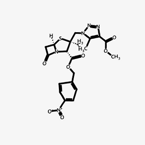 COC(=O)c1nnn(C[C@]2(C)S[C@@H]3CC(=O)N3[C@H]2C(=O)OCc2ccc([N+](=O)[O-])cc2)c1C